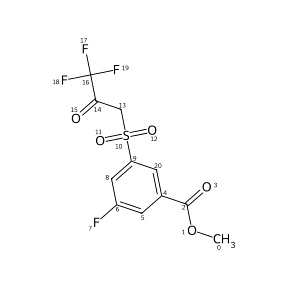 COC(=O)c1cc(F)cc(S(=O)(=O)CC(=O)C(F)(F)F)c1